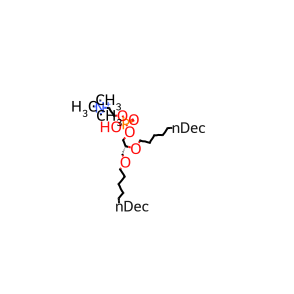 CCCCCCCCCCCCCCCOC[C@H](COP(=O)(O)OCC[N+](C)(C)C)OCCCCCCCCCCCCCCC